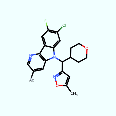 CC(=O)c1cnc2c3cc(F)c(Cl)cc3n(C(c3cc(C)on3)C3CCOCC3)c2c1